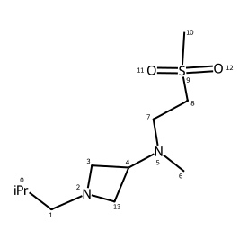 CC(C)CN1CC(N(C)CCS(C)(=O)=O)C1